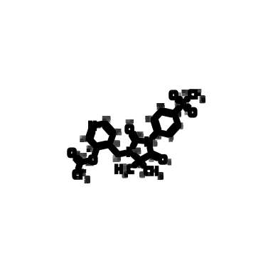 CC1(C)C(=O)N(c2ccc(S(=O)(=O)C(F)(F)F)cc2)C(=O)N1Cc1ccncc1OC(=O)C(F)(F)F